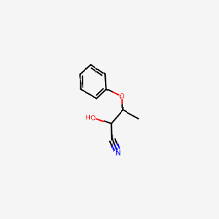 CC(Oc1ccccc1)C(O)C#N